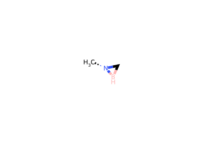 C[N@@]1BC1